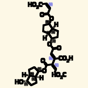 O=C(O)/C=C\C(=O)O[C@@H]1CC[C@H]2[C@@H]1CC[C@@H]2OC(=O)/C=C(C(=O)O)/C(=C/C(=O)O)C(=O)O[C@@H]1CC[C@H]2[C@@H]1CC[C@@H]2O